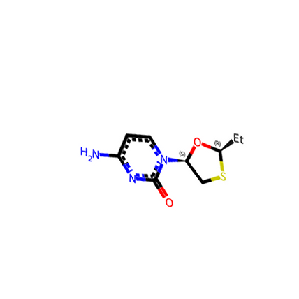 [CH2]C[C@@H]1O[C@H](n2ccc(N)nc2=O)CS1